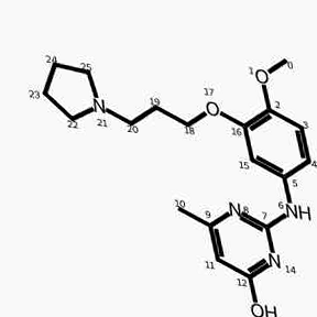 COc1ccc(Nc2nc(C)cc(O)n2)cc1OCCCN1CCCC1